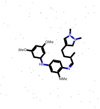 CNc1cc(NC2C=C(OC)C=C(OC)C2)ccc1/N=C\C(C)CCC1=CN(C)N(C)C1